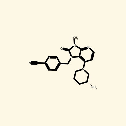 Cn1c(=O)n(Cc2ccc(C#N)cc2)c2c(N3CCC[C@@H](N)C3)ccnc21